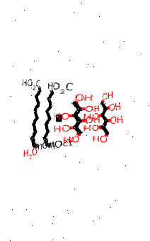 C=C.CCCCCCCC/C=C\CCCCCCCC(=O)O.CCCCCCCC/C=C\CCCCCCCC(=O)O.O.OCC(O)C(O)C(O)C(O)CO.OCC(O)C(O)C(O)C(O)CO